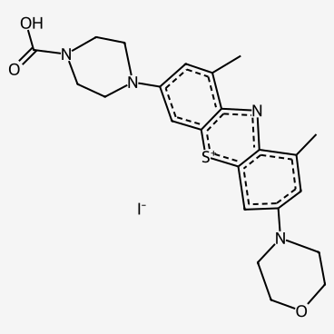 Cc1cc(N2CCOCC2)cc2[s+]c3cc(N4CCN(C(=O)O)CC4)cc(C)c3nc12.[I-]